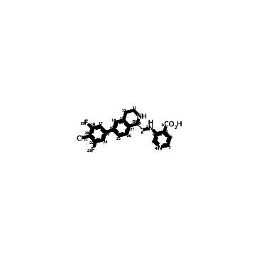 O=C(O)c1ccncc1NC[C@H]1NCCc2cc(-c3cc(F)c(Cl)c(F)c3)ccc21